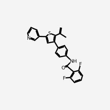 C=C(C)c1sc(-c2cccnc2)cc1-c1ccc(NC(=O)c2c(F)cccc2F)cc1